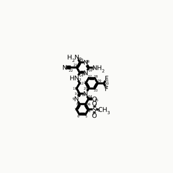 CS(=O)(=O)c1cccc2nc(CCNc3nc(N)nc(N)c3C#N)n(-c3cccc(C(F)F)c3)c(=O)c12